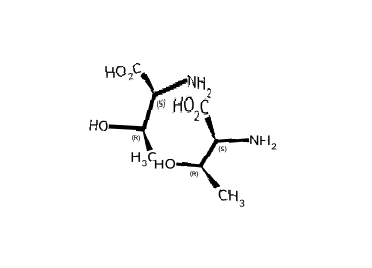 C[C@@H](O)[C@H](N)C(=O)O.C[C@@H](O)[C@H](N)C(=O)O